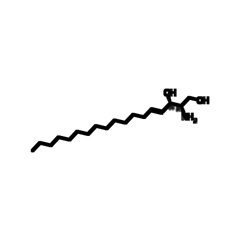 CCCCCCCCCCCCCC=C[C@@H](O)[C@H](N)CO